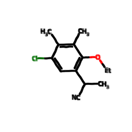 CCOc1c(C(C)C#N)cc(Cl)c(C)c1C